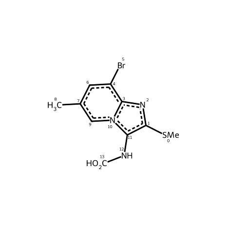 CSc1nc2c(Br)cc(C)cn2c1NC(=O)O